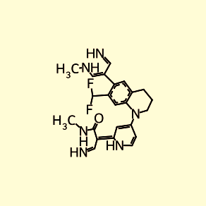 CN/C=C(\C=N)c1cc2c(cc1C(F)F)N(C1=C/C(=C(/C=N)C(=O)NC)NC=C1)CCC2